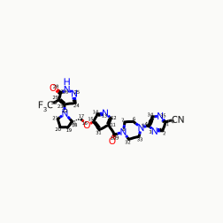 N#Cc1cnc(N2CCN(C(=O)c3cncc(OC[C@@H]4CCCN4c4cn[nH]c(=O)c4C(F)(F)F)c3)CC2)cn1